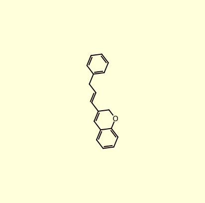 C(=CC1=Cc2ccccc2OC1)Cc1ccccc1